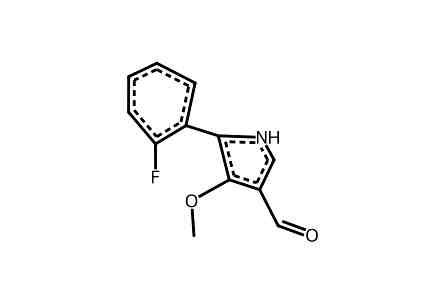 COc1c(C=O)c[nH]c1-c1ccccc1F